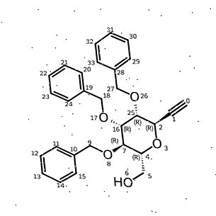 C#C[C@H]1O[C@H](CO)[C@@H](OCc2ccccc2)[C@H](OCc2ccccc2)[C@@H]1OCc1ccccc1